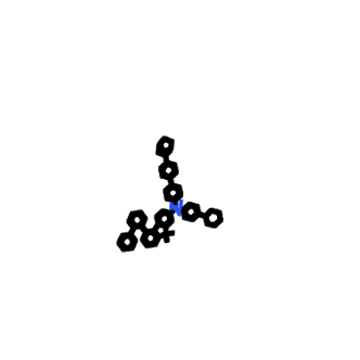 CC1(C)c2cc(N(c3ccc(-c4ccc(C5CC6CCC5C6)cc4)cc3)c3ccc(C4CCCCC4)cc3)ccc2-c2c(-c3ccccc3-c3ccccc3)cccc21